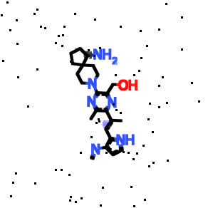 C=Nc1cc[nH]c1/C=C(\C)c1nc(CO)c(N2CCC3(CCC[C@H]3N)CC2)nc1C